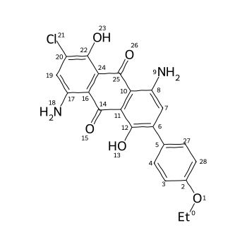 CCOc1ccc(-c2cc(N)c3c(c2O)C(=O)c2c(N)cc(Cl)c(O)c2C3=O)cc1